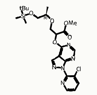 COC(=O)C(CO[C@H](C)CO[Si](C)(C)C(C)(C)C)Oc1ncnc2c1cnn2-c1ncccc1Cl